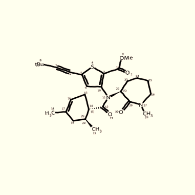 COC(=O)c1sc(C#CC(C)(C)C)cc1N(C(=O)[C@H]1CC=C(C)C[C@@H]1C)[C@H]1CCCCN(C)C1=O